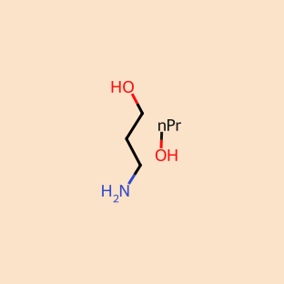 CCCO.NCCCO